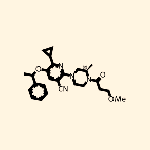 COCCC(=O)N1CCN(c2nc(C3CC3)c(OC(C)c3ccccc3)cc2C#N)C[C@H]1C